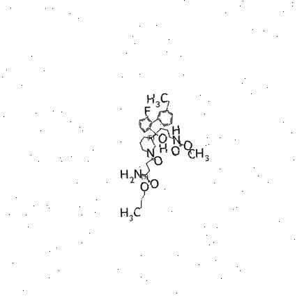 CCCCOC(=O)[C@@H](N)CCC(=O)N1CCC[C@@H](C(O)(CCCNC(=O)OC)c2cccc(F)c2-c2cccc(CC)c2)C1